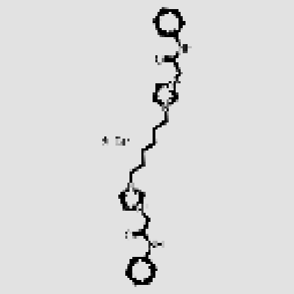 O=C(C[n+]1ccn(CCCCCCn2cc[n+](CC(=O)Nc3ccccc3)c2)c1)Nc1ccccc1.[Br-].[Br-]